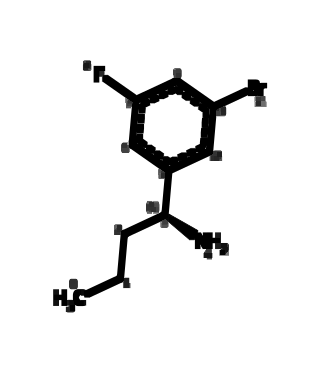 CCC[C@H](N)c1cc(F)cc(Br)c1